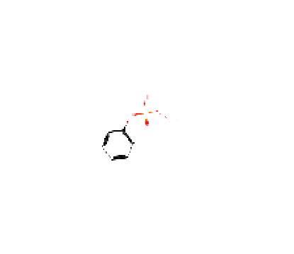 O=P(O)(Oc1ccccc1)OS(=O)(=O)O